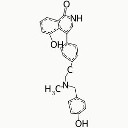 CN(CCc1ccc(-c2c[nH]c(=O)c3cccc(O)c23)cc1)Cc1ccc(O)cc1